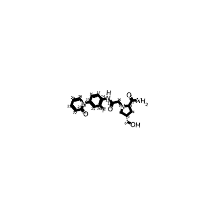 NC(=O)C1[CH][C@H](CO)CN1CC(=O)Nc1ccc(-n2ccccc2=O)cc1F